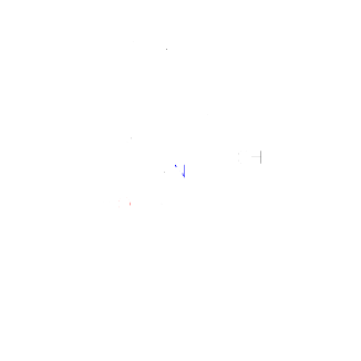 CC1C2=C(CCCCCC2)C(=O)N1C1CCCCCCC1